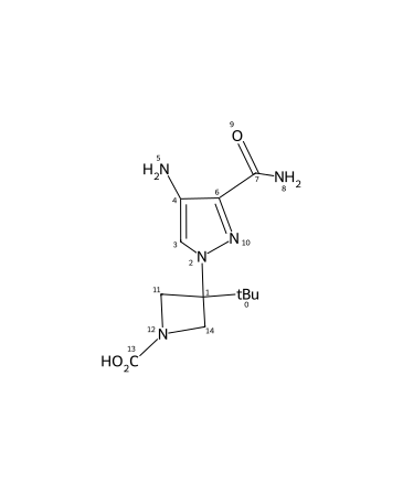 CC(C)(C)C1(n2cc(N)c(C(N)=O)n2)CN(C(=O)O)C1